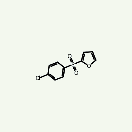 O=S(=O)(c1ccc(Cl)cc1)c1ccco1